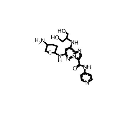 NC1CCC(Nc2cc(NC(CO)CO)c3ncc(C(=O)Nc4ccncc4)n3n2)CC1